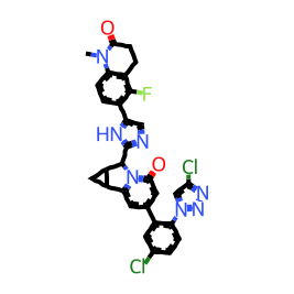 CN1C(=O)CCc2c1ccc(-c1cnc(C3C4CC4c4cc(-c5cc(Cl)ccc5-n5cc(Cl)nn5)cc(=O)n43)[nH]1)c2F